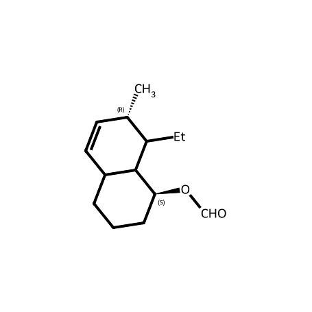 CCC1C2C(C=C[C@@H]1C)CCC[C@@H]2OC=O